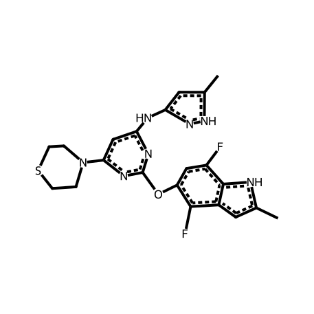 Cc1cc(Nc2cc(N3CCSCC3)nc(Oc3cc(F)c4[nH]c(C)cc4c3F)n2)n[nH]1